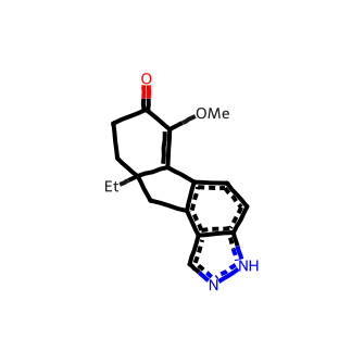 CCC12CCC(=O)C(OC)=C1c1ccc3[nH]ncc3c1C2